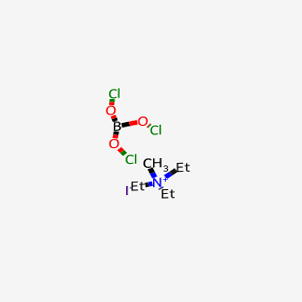 CC[N+](C)(CC)CC.ClOB(OCl)OCl.[I-]